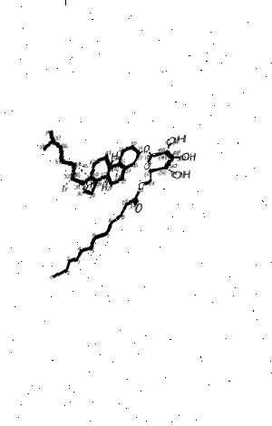 CCCCCCCCCCCC(=O)OC[C@H]1O[C@H](O[C@H]2CC[C@@]3(C)C(=CC[C@H]4[C@@H]5CC[C@H]([C@H](C)CCCC(C)C)[C@@]5(C)CC[C@@H]43)C2)[C@H](O)[C@@H](O)[C@@H]1O